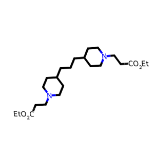 CCOC(=O)CCN1CCC(CCCC2CCN(CCC(=O)OCC)CC2)CC1